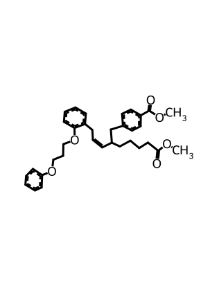 COC(=O)CCCCC(/C=C\Cc1ccccc1OCCCOc1ccccc1)Cc1ccc(C(=O)OC)cc1